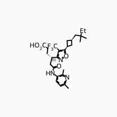 CCC(C)(C)C[C@H]1C[C@@H](c2onc([C@@H](CCC(=O)O)CC(=O)Nc3ccc(C)nc3C)c2C(F)(F)F)C1